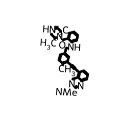 CNc1ncc2c(C#Cc3cc(C(=O)Nc4cccc(C(F)(F)F)c4CN4CCNCC4C)ccc3C)cccc2n1